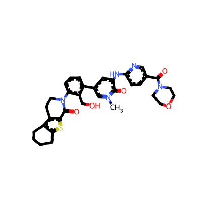 Cn1cc(-c2cccc(N3CCc4c(sc5c4CCCC5)C3=O)c2CO)cc(Nc2ccc(C(=O)N3CCOCC3)cn2)c1=O